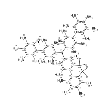 Bc1c(B)c(B)c(-c2c(B)c(B)c(N(c3c(B)c(B)c(-c4c(B)c(B)c(B)c(B)c4B)c(B)c3B)c3c(B)c(B)c4c(c3B)C(C)(C)C(C)(C)c3c(B)c(B)c(B)c(B)c3-4)c(B)c2B)c(B)c1B